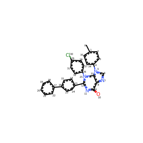 Cc1ccc(-n2cnc3c(=O)nc(-c4ccc(-c5ccccc5)cc4)n(-c4ccc(Cl)cc4)c32)cc1